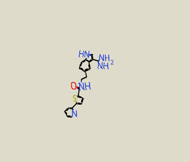 N=C(N)c1c[nH]c2ccc(CCNC(=O)c3ccc(-c4ccccn4)s3)cc12